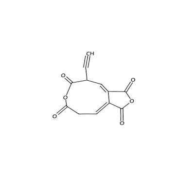 C#CC1/C=C2/C(=O)OC(=O)/C2=C/CC(=O)OC1=O